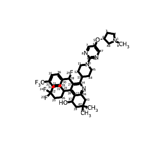 CN1CC[C@@H](Oc2cnc(N3CCC(c4nc5c(c(C6CCC(F)(F)CC6)c4C(F)c4ccc(C(F)(F)F)cc4)C(O)CC(C)(C)C5)CC3)nc2)C1